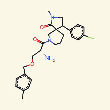 Cc1ccc(COC[C@@H](N)C(=O)N2CCCC3(C2)C(=O)N(C)CC3c2ccc(F)cc2)cc1